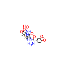 CC1(C)S[C@@H]2[C@@H](NC(=O)C(N)c3ccc4c(c3)OCO4)C(=O)N2[C@@]1(NC=O)C(=O)O